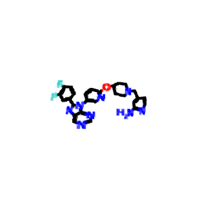 Nc1cc(CN2CCC(Oc3ccc(-n4c(-c5ccc(F)c(F)c5)nc5cncnc54)cn3)CC2)ccn1